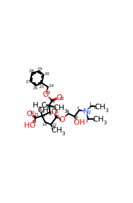 CCN(CC)CC(O)COC(=O)C(C)CC(C)(CC(C)(C)C(=O)OCc1ccccc1)C(=O)O